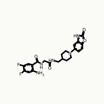 Nc1cc(F)c(F)cc1C(=O)NCC(=O)NCC1CCN(c2ccc3oc(=O)[nH]c3c2)CC1